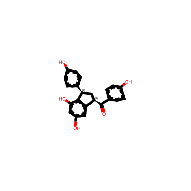 O=C(c1ccc(O)cc1)[C@@H]1C[C@H](c2ccc(O)cc2)c2c(O)cc(O)cc21